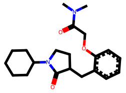 CN(C)C(=O)COc1ccccc1CC1CCN(C2CCCCC2)C1=O